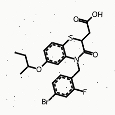 CCC(C)Oc1ccc2c(c1)N(Cc1ccc(Br)cc1F)C(=O)C(CC(=O)O)S2